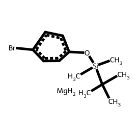 CC(C)(C)[Si](C)(C)Oc1ccc(Br)cc1.[MgH2]